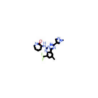 Cc1cc(C(F)F)c2nc(Nc3ccccnc3=O)n3nc(-c4cnn(C)c4)nc3c2c1